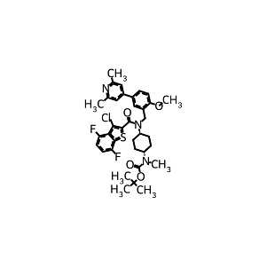 COc1ccc(-c2cc(C)nc(C)c2)cc1CN(C(=O)c1sc2c(F)ccc(F)c2c1Cl)[C@H]1CC[C@H](N(C)C(=O)OC(C)(C)C)CC1